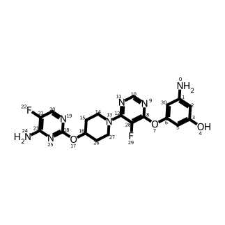 Nc1cc(O)cc(Oc2ncnc(N3CCC(Oc4ncc(F)c(N)n4)CC3)c2F)c1